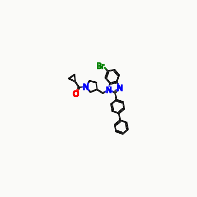 O=C(C1CC1)N1CCC(Cn2c(-c3ccc(-c4ccccc4)cc3)nc3ccc(Br)cc32)C1